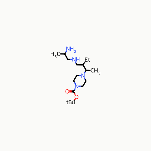 CCC(CNCC(C)N)C(C)N1CCN(C(=O)OC(C)(C)C)CC1